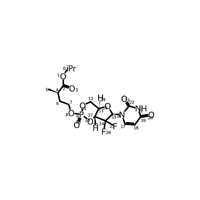 CC(C)OC(=O)[C@H](C)CCOP1(=O)OC[C@H]2O[C@@H](n3ccc(=O)[nH]c3=O)C(F)(F)[C@@H]2O1